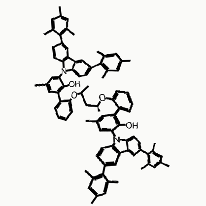 Cc1cc(C)c(-c2ccc3c(c2)c2cc(-c4c(C)cc(C)cc4C)ccc2n3-c2cc(C)cc(-c3ccccc3OC(C)C[C@H](C)Oc3ccccc3-c3cc(C)cc(-n4c5ccc(-c6c(C)cc(C)cc6C)cc5c5cc(-c6c(C)cc(C)cc6C)ccc54)c3O)c2O)c(C)c1